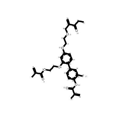 C=C(C)C(=O)OCCOc1cc(OCCOCC(=C)C(=O)CC)ccc1-c1ccc(OC(=O)C(=C)C)c(F)c1